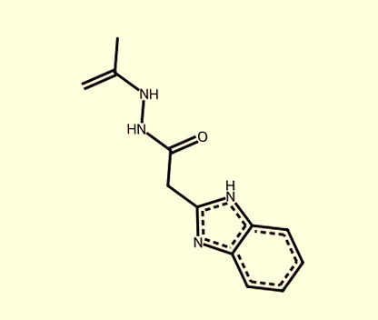 C=C(C)NNC(=O)Cc1nc2ccccc2[nH]1